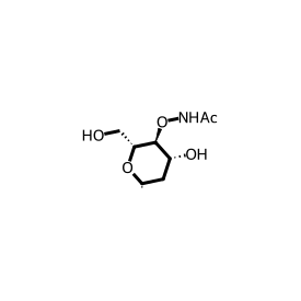 CC(=O)NO[C@H]1[C@H](O)C[CH]O[C@@H]1CO